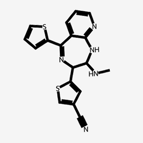 CNC1Nc2ncccc2C(c2cccs2)=NC1c1cc(C#N)cs1